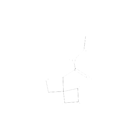 CCOC(=O)CC1(CC)CCC1